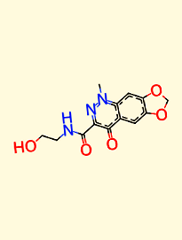 Cn1nc(C(=O)NCCO)c(=O)c2cc3c(cc21)OCO3